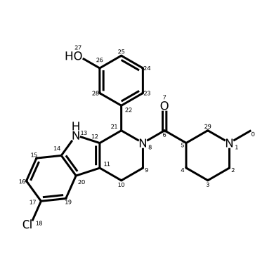 CN1CCCC(C(=O)N2CCc3c([nH]c4ccc(Cl)cc34)C2c2cccc(O)c2)C1